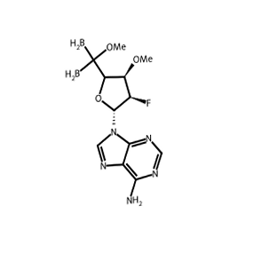 BC(B)(OC)C1O[C@@H](n2cnc3c(N)ncnc32)[C@H](F)[C@@H]1OC